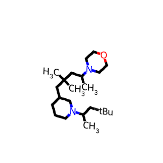 CC(CC(C)(C)CC1CCCN(C(C)CC(C)(C)C)C1)N1CCOCC1